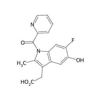 Cc1c(CC(=O)O)c2cc(O)c(F)cc2n1C(=O)c1ccccn1